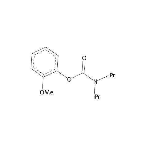 COc1ccccc1OC(=O)N(C(C)C)C(C)C